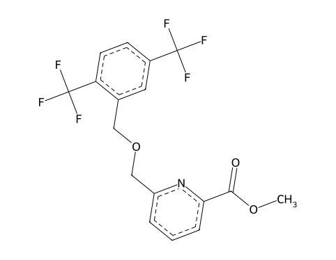 COC(=O)c1cccc(COCc2cc(C(F)(F)F)ccc2C(F)(F)F)n1